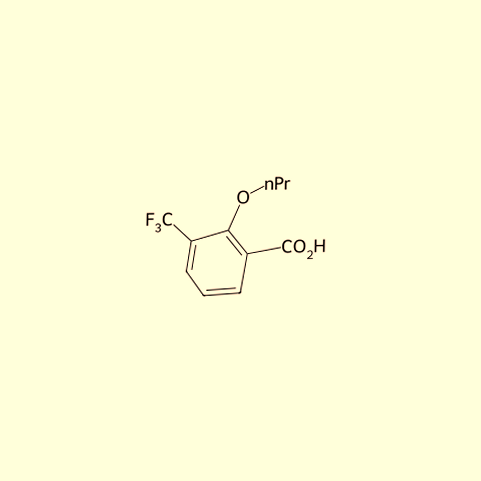 CCCOc1c(C(=O)O)cccc1C(F)(F)F